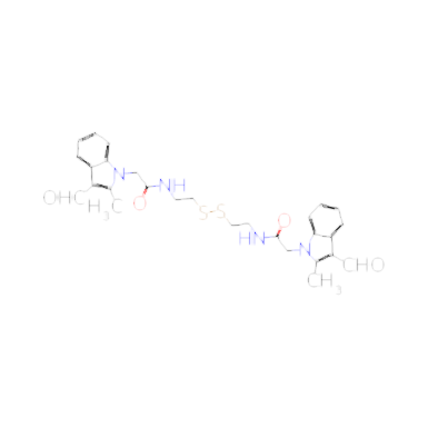 Cc1c(C=O)c2ccccc2n1CC(=O)NCCSSCCNC(=O)Cn1c(C)c(C=O)c2ccccc21